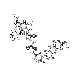 CCc1nc2c(cnn2CC)c(NC2CCOCC2)c1CNC(=O)CCC(=O)NCc1ccc(F)c(-c2cccc(CN3CCN(CC)CC3)c2)c1